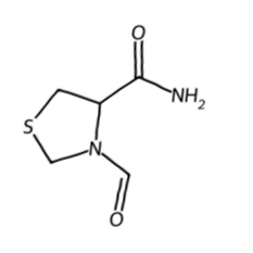 NC(=O)C1CSCN1C=O